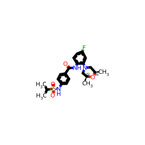 CC(C)S(=O)(=O)Nc1ccc(C(=O)Nc2ccc(F)cc2N2C[C@@H](C)O[C@@H](C)C2)cc1